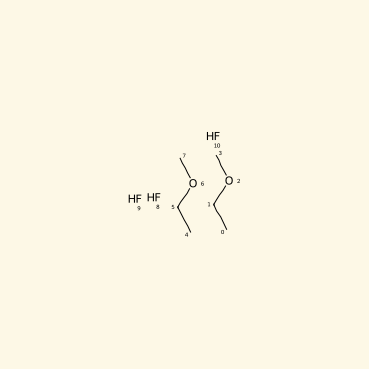 CCOC.CCOC.F.F.F